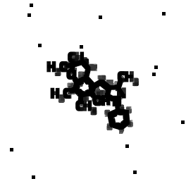 CC1=NN(c2ccccc2)CC1=Cc1c(O)c(C)c(C)c2c1CCC(C)(C)O2